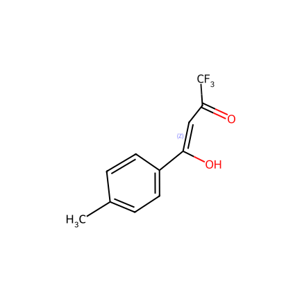 Cc1ccc(/C(O)=C/C(=O)C(F)(F)F)cc1